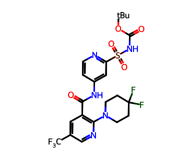 CC(C)(C)OC(=O)NS(=O)(=O)c1cc(NC(=O)c2cc(C(F)(F)F)cnc2N2CCC(F)(F)CC2)ccn1